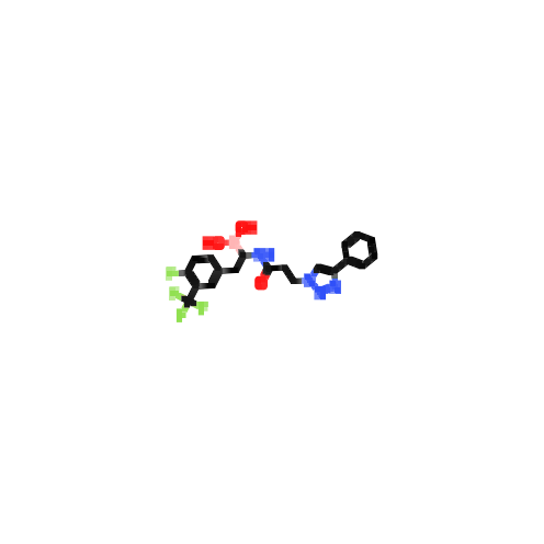 O=C(CCn1cc(-c2ccccc2)nn1)NC(Cc1ccc(F)c(C(F)(F)F)c1)B(O)O